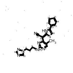 Cc1cnc(NCCCn2cncn2)nc1C(C#N)=C1NC(c2ccccc2)=CS1